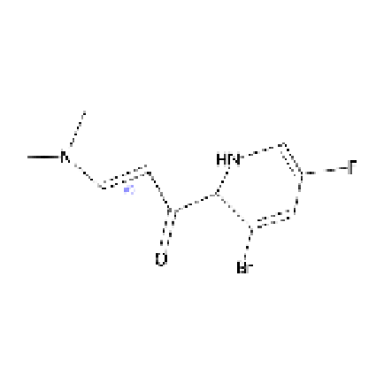 CN(C)/C=C/C(=O)C1NC=C(F)C=C1Br